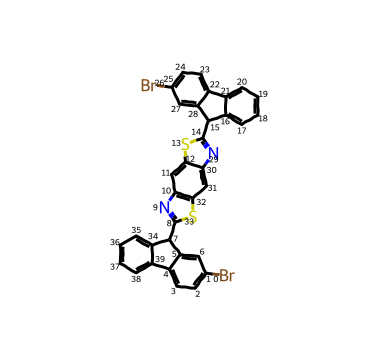 Brc1ccc2c(c1)C(c1nc3cc4sc(C5c6ccccc6-c6ccc(Br)cc65)nc4cc3s1)c1ccccc1-2